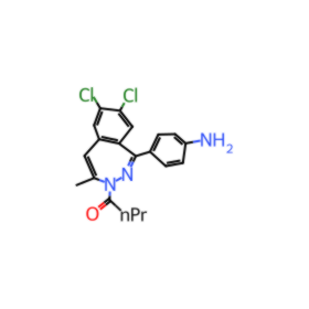 CCCC(=O)N1N=C(c2ccc(N)cc2)c2cc(Cl)c(Cl)cc2C=C1C